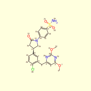 COc1cc(Cc2cc([C@H]3CC(=O)N(c4ccc(S(N)(=O)=O)cc4)C3)ccc2Cl)nc(OC)n1